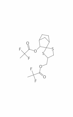 CC(F)(F)C(=O)OCC1CSC2(S1)C1CCC(C1)C2OC(=O)C(C)(F)F